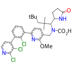 COc1nc(-c2cccc(-c3ccnc(Cl)c3Cl)c2Cl)ccc1CN(C(=O)O)C(C1CCC(=O)N1)C(C)(C)CC(C)(C)C